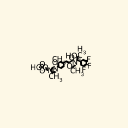 COc1cc(C=C2O[C@@H](C)CN([C@H](c3cc(F)c(F)c(F)c3)[C@@H](C)O)C2=O)ccc1-n1cc(C)[n+](COP(=O)([O-])O)c1